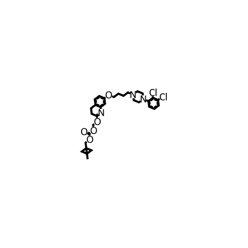 CC12CC1(COC(=O)OCOC1=Nc3cc(OCCCCN4CCN(c5cccc(Cl)c5Cl)CC4)ccc3CC1)C2